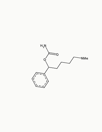 CNCCCCC(OC(N)=O)c1ccccc1